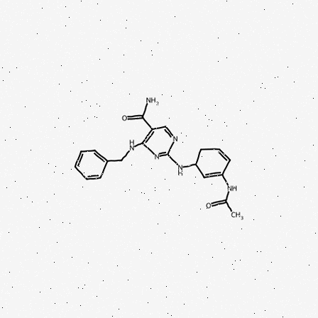 CC(=O)NC1=CC(Nc2ncc(C(N)=O)c(NCc3ccccc3)n2)CC=C1